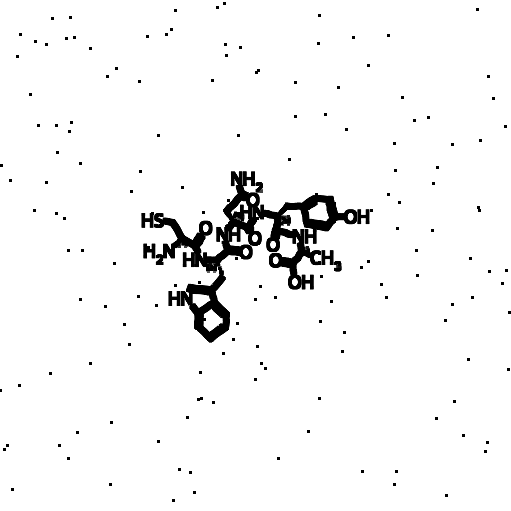 C[C@H](NC(=O)[C@H](Cc1ccc(O)cc1)NC(=O)[C@H](CC(N)=O)NC(=O)[C@H](Cc1c[nH]c2ccccc12)NC(=O)[C@@H](N)CS)C(=O)O